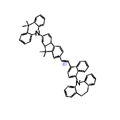 CC1(C)c2ccccc2N(C2=CC3C(C=C2)c2ccc(/C=C/c4ccc(N5c6ccccc6CCc6ccccc65)c5ccccc45)cc2C3(C)C)c2ccccc21